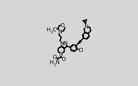 C[C@H]1COCCN1CCCn1nc(-c2ccc(Cl)c(C#Cc3ccc4c(c3)CN(C3CC3)CC4)c2)c2c1CCN(C(=O)C(N)=O)C2